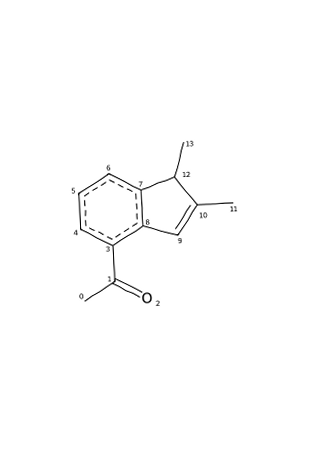 CC(=O)c1cccc2c1C=C(C)C2C